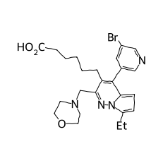 CCc1ccc2c(-c3cncc(Br)c3)c(CCCCCC(=O)O)c(CN3CCOCC3)nn12